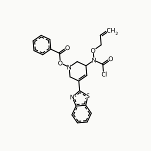 C=CCON(C(=O)Cl)C1C=C(c2nc3ccccc3s2)CN(OC(=O)c2ccccc2)C1